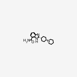 NC(=O)c1cccc2nc([C@H]3CC[C@H](N4CCCCC4)CC3)[nH]c12